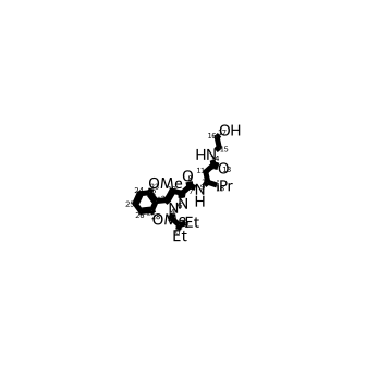 CCC(CC)Cn1nc(C(=O)NC(CC(=O)NCCO)C(C)C)cc1-c1c(OC)cccc1OC